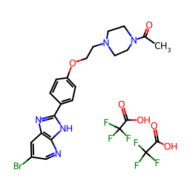 CC(=O)N1CCN(CCOc2ccc(-c3nc4cc(Br)cnc4[nH]3)cc2)CC1.O=C(O)C(F)(F)F.O=C(O)C(F)(F)F